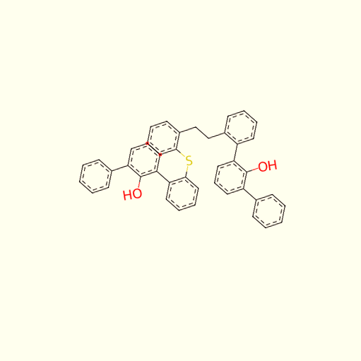 Oc1c(-c2ccccc2)cccc1-c1ccccc1CCc1ccccc1Sc1ccccc1-c1cccc(-c2ccccc2)c1O